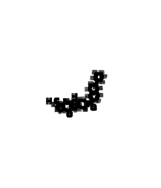 Cn1ncc2c(=O)n(CC3(O)CCN(C(=O)c4ccc5c(c4)CCN(c4ccccc4)C5)CC3)cnc21